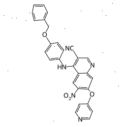 N#Cc1cnc2cc(Oc3ccncc3)c([N+](=O)[O-])cc2c1Nc1ccc(OCc2ccccc2)cc1